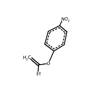 C=C(CC)Oc1ccc([N+](=O)[O-])cc1